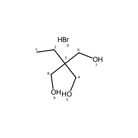 Br.CCC(CO)(CO)CO